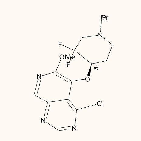 COc1ncc2ncnc(Cl)c2c1O[C@@H]1CCN(C(C)C)CC1(F)F